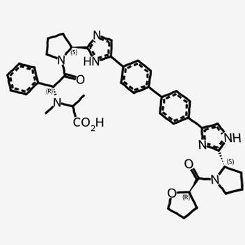 CC(C(=O)O)N(C)[C@@H](C(=O)N1CCC[C@H]1c1ncc(-c2ccc(-c3ccc(-c4c[nH]c([C@@H]5CCCN5C(=O)[C@H]5CCCO5)n4)cc3)cc2)[nH]1)c1ccccc1